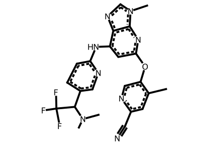 Cc1cc(C#N)ncc1Oc1cc(Nc2ccc(C(N(C)C)C(F)(F)F)cn2)c2ncn(C)c2n1